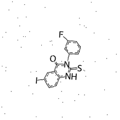 O=c1c2cc(I)ccc2[nH]c(=S)n1-c1cccc(F)c1